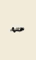 O=S(=O)(Nc1cccc([C@@H](O)CNCCOc2ccc3c(C(F)(F)F)n[nH]c3c2)c1)C1CCC1